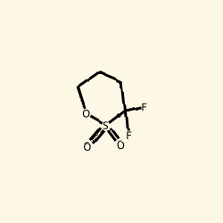 O=S1(=O)OCCCC1(F)F